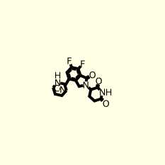 O=C1CCC(N2Cc3c(N4CC5CCC4CN5)cc(F)c(F)c3C2=O)C(=O)N1